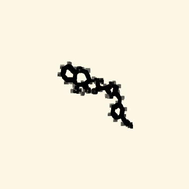 CN1C(=O)[C@@H](NC(=O)c2ncc(Cc3cccc(C#N)c3)s2)COc2ccccc21